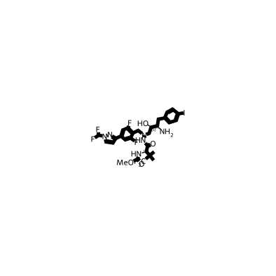 COC(=O)N[C@H](C(=O)NN(Cc1c(F)cc(-c2ccn(C(F)F)n2)cc1F)C[C@H](O)[C@@H](N)Cc1ccc(I)cc1)C(C)(C)C(F)(F)F